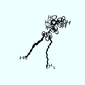 C#CC#CC#CC#CC#CC#CC#CC(=O)OC[C@H](COP(=O)(O)OC1C(O)[C@H](O)[C@H](O)C(OP(=O)(O)O)[C@@H]1O)OC(=O)CCCCCCCCCCCCCCC